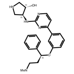 CNCC[C@H](Oc1cccc(-c2ccnc(N[C@H]3CNC[C@@H]3O)n2)c1)c1ccccc1